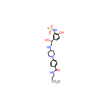 CCOC(=O)CCNC(=O)c1ccc(N2CCC(NC[C@@H](O)c3ccc(O)c(NS(C)(=O)=O)c3)CC2)cc1